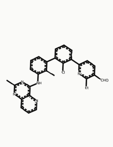 CCc1nc(-c2cccc(-c3cccc(Nc4nc(C)nc5cccnc45)c3C)c2Cl)ccc1C=O